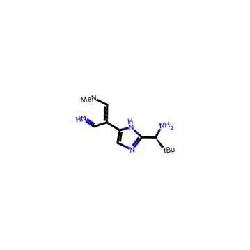 CN/C=C(\C=N)c1cnc([C@@H](N)C(C)(C)C)[nH]1